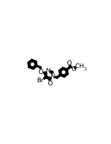 COC(=O)c1ccc(Cn2cnc(OCc3ccccc3)c(Br)c2=O)cc1